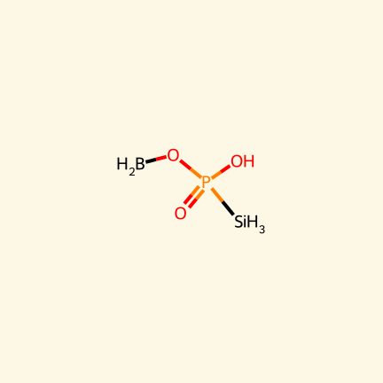 BOP(=O)(O)[SiH3]